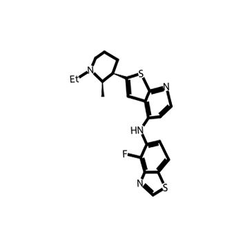 CCN1CCC[C@@H](c2cc3c(Nc4ccc5scnc5c4F)ccnc3s2)[C@H]1C